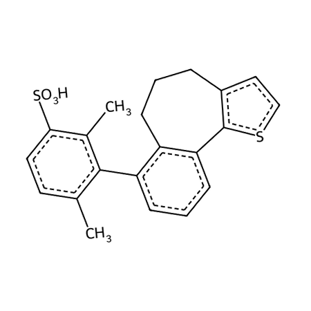 Cc1ccc(S(=O)(=O)O)c(C)c1-c1cccc2c1CCCc1ccsc1-2